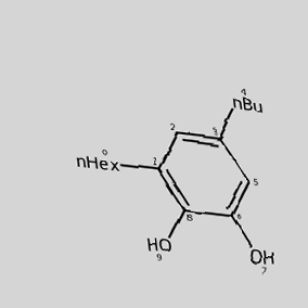 CCCCCCc1cc(CCCC)cc(O)c1O